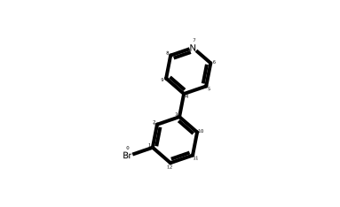 Brc1[c]c(-c2ccncc2)ccc1